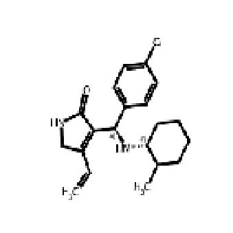 C=CC1=C([C@H](N[C@@H]2CCCCC2C)c2ccc(Cl)cc2)C(=O)NC1